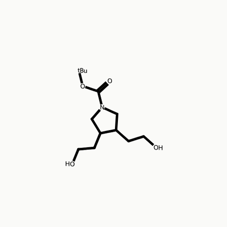 CC(C)(C)OC(=O)N1CC(CCO)C(CCO)C1